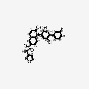 O=c1ccc2cc(S(=O)(=O)Nc3ccon3)ccc2n1C1=CC(Cl)=C(c2cccc(F)c2)NC1O